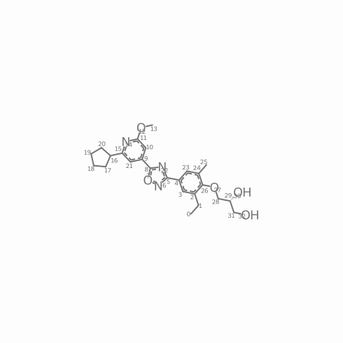 CCc1cc(-c2noc(-c3cc(OC)nc(C4CCCC4)c3)n2)cc(C)c1OC[C@H](O)CO